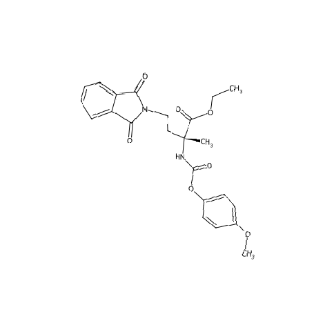 CCOC(=O)[C@@](C)(CCN1C(=O)c2ccccc2C1=O)NC(=O)Oc1ccc(OC)cc1